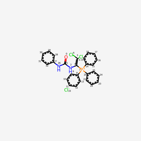 O=C(NC(=C(Cl)Cl)[P+](c1ccccc1)(c1ccccc1)c1ccccc1)Nc1ccccc1.[Cl-]